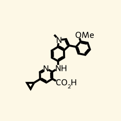 COc1ccccc1-c1cn(C)c2ccc(Nc3ncc(C4CC4)cc3C(=O)O)cc12